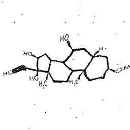 C#C[C@]1(O)[C@@H](O)CC2C3C(CC[C@@]21C)[C@@]1(C)CC[C@H](OC)C[C@H]1C[C@@H]3O